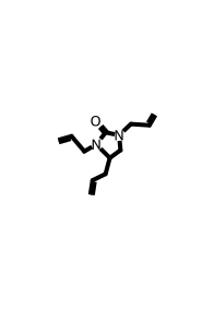 C=CCC1CN(CC=C)C(=O)N1CC=C